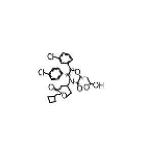 CCC(CS(=O)(=O)C1CCC1)N1C(=O)[C@@H](CC(=O)O)O[C@H](c2cccc(Cl)c2)[C@H]1c1ccc(Cl)cc1